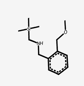 COCc1ccccc1CNC[Si](C)(C)C